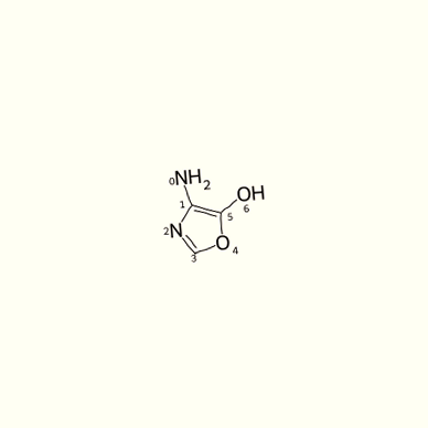 Nc1ncoc1O